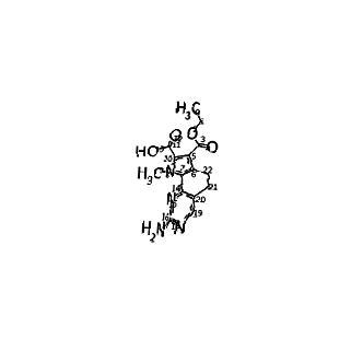 CCOC(=O)c1c2c(n(C)c1C(=O)O)-c1nc(N)ncc1CC2